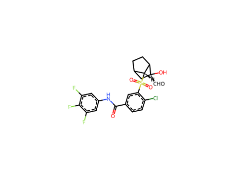 O=C[C@@]1(O)CC2CCC1[C@@H]2S(=O)(=O)c1cc(C(=O)Nc2cc(F)c(F)c(F)c2)ccc1Cl